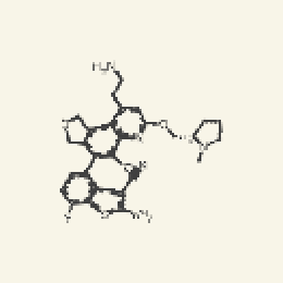 CN1CCC[C@H]1COc1cc(CCN)c2c3c(c(-c4ccc(F)c5sc(N)c(C#N)c45)c(Cl)c2n1)COC3